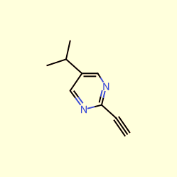 C#Cc1ncc(C(C)C)cn1